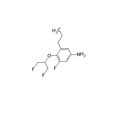 CCCc1cc(N)cc(F)c1OC(CF)CF